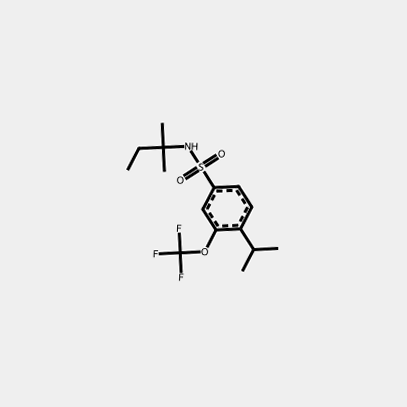 CCC(C)(C)NS(=O)(=O)c1ccc(C(C)C)c(OC(F)(F)F)c1